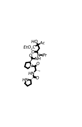 CCOC(=O)C(O)(CC(=O)N(NC(=O)[C@@H]1CCCN1C(=O)[C@H](C)NC(=O)[C@@H]1CCCN1)C(C)C)C(C)=O